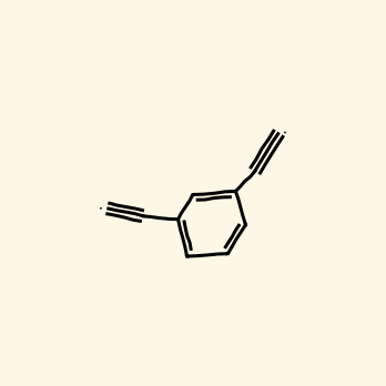 [C]#Cc1cccc(C#[C])c1